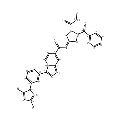 CNC(=O)[C@H]1C/C(=N\C(=O)c2ccn3c(-c4cccc(-n5nc(C)cc5C)c4)cnc3c2)CN1C(=O)c1ccccc1